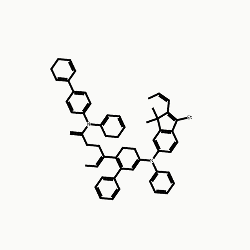 C=C(CC/C(=C\C)C1=C(c2ccccc2)C=C(N(c2ccccc2)c2ccc3c(c2)C(C)(C)C(/C=C\C)=C3CC)CC1)N(C1=CC=CCC1)c1ccc(C2=CCCC=C2)cc1